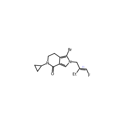 CC/C(=C\F)Cn1cc2c(c1Br)CCN(C1CC1)C2=O